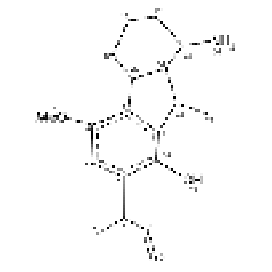 C=CC(C)c1cc(OC)c2c(c1O)C(C)C1C(N)CCCC21